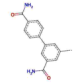 [CH2]c1cc(C(N)=O)cc(-c2ccc(C(N)=O)cc2)c1